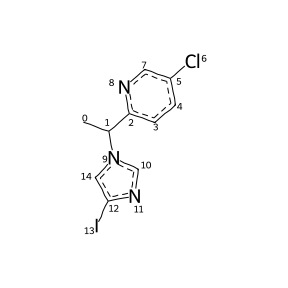 CC(c1ccc(Cl)cn1)n1cnc(I)c1